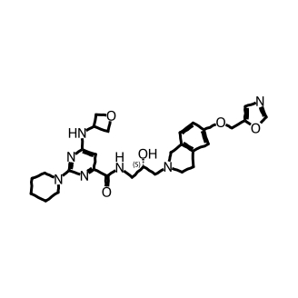 O=C(NC[C@H](O)CN1CCc2cc(OCc3cnco3)ccc2C1)c1cc(NC2COC2)nc(N2CCCCC2)n1